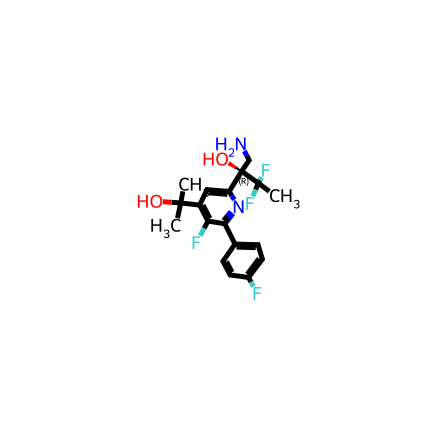 CC(C)(O)c1cc([C@](O)(CN)C(C)(F)F)nc(-c2ccc(F)cc2)c1F